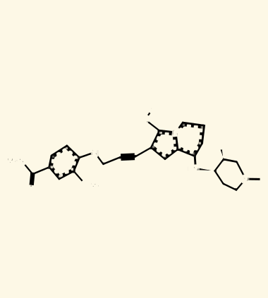 CNC(=O)c1ccc(NCC#Cc2cc3c(N[C@@H]4CCN(C)C[C@@H]4F)cccn3c2SC(F)(F)F)c(OC)c1